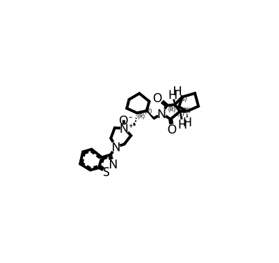 O=C1[C@@H]2[C@H]3CC[C@H](C3)[C@@H]2C(=O)N1C[C@@H]1CCCC[C@H]1C[N+]1([O-])CCN(c2nsc3ccccc23)CC1